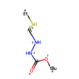 CC[SH]=CNNC(=O)OC(C)(C)C